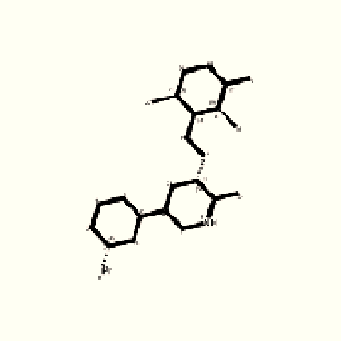 CC(C)[C@@H]1CCCC(C2CNC(C)[C@@H](CCC3[C@H](C)C(C)CC[C@@H]3C)C2)C1